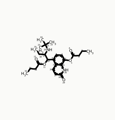 CCCC(=O)Oc1ccc(C(OC(=O)CCC)C(CC)NC(C)(C)C)c2ccc(=O)[nH]c12